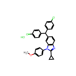 COc1ccc(-n2c(C3CC3)nc3ccc(C(c4ccc(Cl)cc4)c4ccc(Cl)cc4)cc32)cc1.Cl